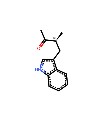 CC(=O)[C@@H](C)Cc1c[nH]c2ccccc12